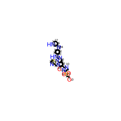 COCCS(=O)(=O)c1cn(C)c(-c2cc3cnc(Nc4ccc(N(C)C5CCCNC5)cc4)nc3n(Cc3nccs3)c2=O)n1